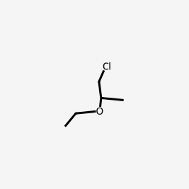 CCOC(C)CCl